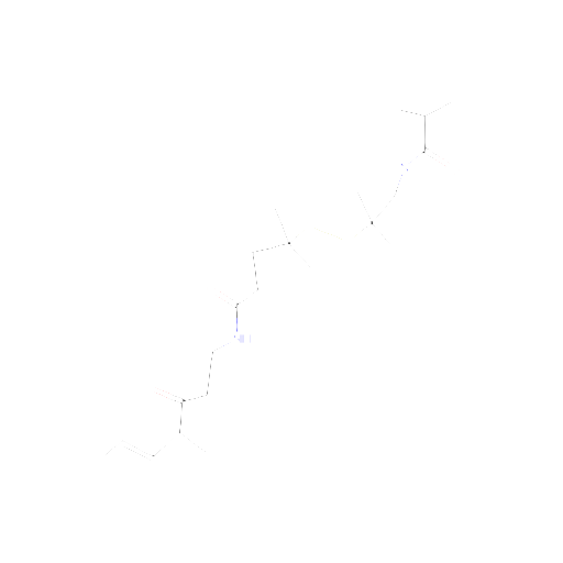 CC=CC(C)C(=O)CCNC(=O)CCC(C)(C)SSC(C)(C)CNC(=O)C(C)C